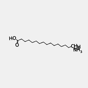 CCCCCCCCCCCCCCCC(=O)O.N.[LiH]